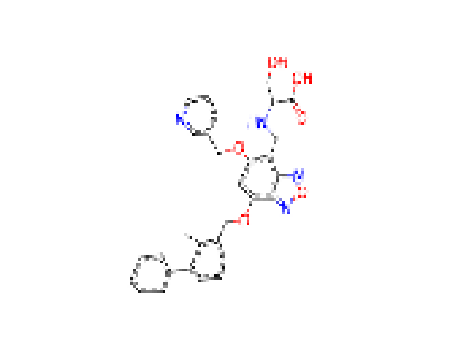 Cc1c(COc2cc(OCc3cccnc3)c(CNC(CO)C(=O)O)c3nonc23)cccc1-c1ccccc1